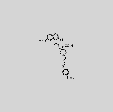 COc1ccc(SCCCN2CCC(CCC(F)c3c(Cl)cnc4ccc(OC)cc34)(CC(=O)O)CC2)cc1